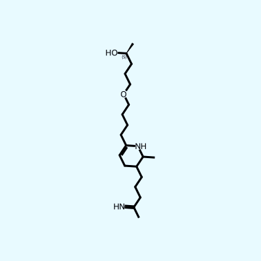 CC(=N)CCCC1CC=C(CCCCOCCC[C@H](C)O)NC1C